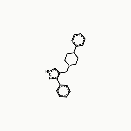 c1ccc(-c2n[nH]cc2CN2CCN(c3ccccn3)CC2)cc1